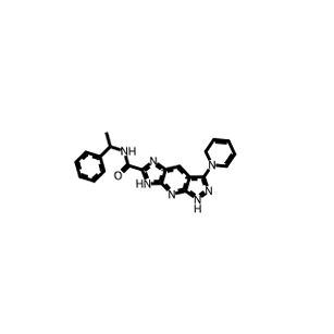 CC(NC(=O)c1nc2cc3c(N4C=CC=CC4)n[nH]c3nc2[nH]1)c1ccccc1